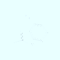 CCC(=O)OC.Cl.Cl.c1ccncc1